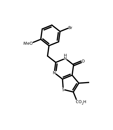 COc1ccc(Br)cc1Cc1nc2sc(C(=O)O)c(C)c2c(=O)[nH]1